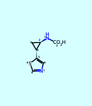 O=C(O)N[C@@H]1C[C@H]1c1cncs1